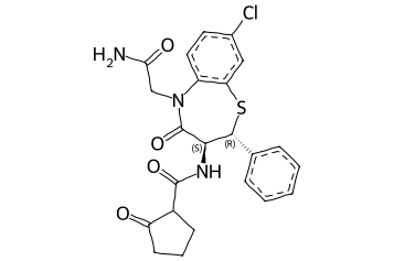 NC(=O)CN1C(=O)[C@H](NC(=O)C2CCCC2=O)[C@@H](c2ccccc2)Sc2cc(Cl)ccc21